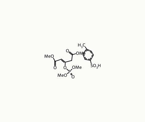 COC(=O)/C=C(/CC(=O)OC)OP(=O)(OC)OC.Cc1ccc(S(=O)(=O)O)cc1